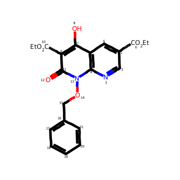 CCOC(=O)c1cnc2c(c1)c(O)c(C(=O)OCC)c(=O)n2OCc1ccccc1